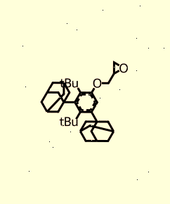 CC(C)(C)c1c(OCC2CO2)cc(C23CC4CC(CC(C4)C2)C3)c(C(C)(C)C)c1C12CC3CC(CC(C3)C1)C2